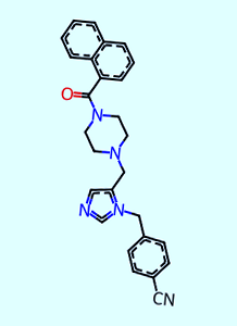 N#Cc1ccc(Cn2cncc2CN2CCN(C(=O)c3cccc4ccccc34)CC2)cc1